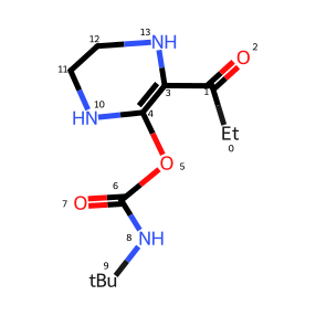 CCC(=O)C1=C(OC(=O)NC(C)(C)C)NCCN1